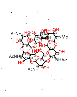 CNC1C(OC2C(CO)OC(OC3C(CO)OC(OC4C(CO)OC(OC5C(COC6OC(C)C(O)C(O)C6O)OC(O)C(NC(C)=O)C5O)C(NC(C)=O)C4O)C(NC(C)=O)C3O)C(NC(C)=O)C2O)OC(COC(C)=O)C(O)C1O